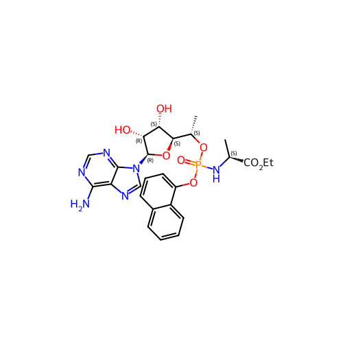 CCOC(=O)[C@H](C)NP(=O)(Oc1cccc2ccccc12)O[C@@H](C)[C@H]1O[C@@H](n2cnc3c(N)ncnc32)[C@H](O)[C@@H]1O